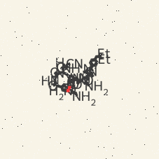 CCC(CC)Cc1ccc(-c2nc(C)c(C(=O)N[C@@H](CCN)C(=O)Nc3cc4cc(c3OCCN)-c3cc(ccc3OCCN)[C@H](C)C(=O)N[C@@H](C)C(=O)N[C@H](C(=O)NCC#N)C4)c(C)n2)cc1